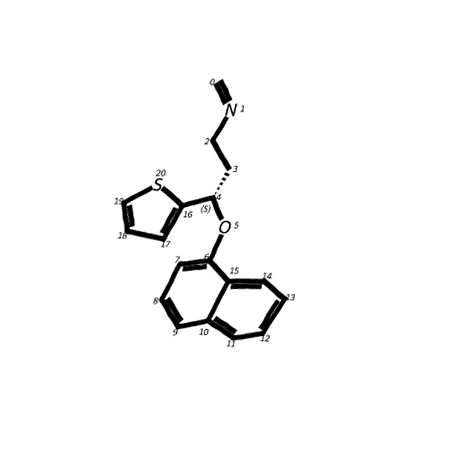 C=NCC[C@H](Oc1cccc2ccccc12)c1cccs1